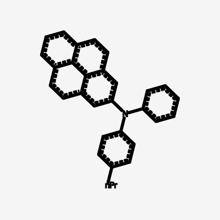 CCCc1ccc(N(c2ccccc2)c2cc3ccc4cccc5ccc(c2)c3c45)cc1